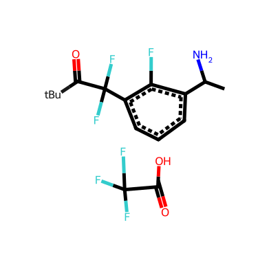 CC(N)c1cccc(C(F)(F)C(=O)C(C)(C)C)c1F.O=C(O)C(F)(F)F